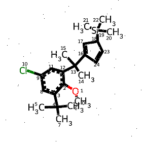 COc1c(C(C)(C)C)cc(Cl)cc1C(C)(C)C1=CC([Si](C)(C)C)C=C1